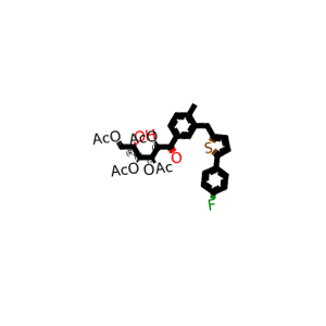 CC(=O)OC[C@@H](O)[C@@H](OC(C)=O)[C@H](OC(C)=O)[C@@H](OC(C)=O)C(=O)c1ccc(C)c(Cc2ccc(-c3ccc(F)cc3)s2)c1